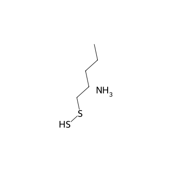 CCCCCSS.N